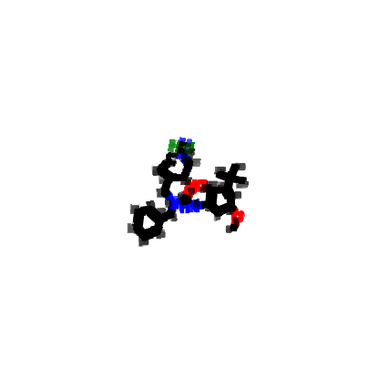 COc1cc(NC(=O)N(Cc2ccccc2)CC2CCNCC2)c(O)c(C(C)(C)C)c1.Cl